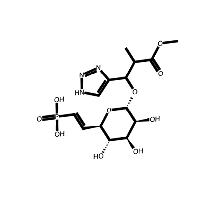 COC(=O)C(C)C(O[C@H]1O[C@H](/C=C/P(=O)(O)O)[C@@H](O)[C@H](O)[C@@H]1O)c1c[nH]nn1